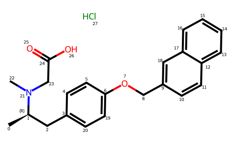 C[C@H](Cc1ccc(OCc2ccc3ccccc3c2)cc1)N(C)CC(=O)O.Cl